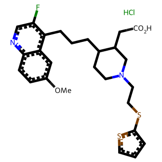 COc1ccc2ncc(F)c(CCCC3CCN(CCSc4cccs4)CC3CC(=O)O)c2c1.Cl